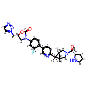 N#C[C@]1(c2ccc(-c3ccc(N4C[C@H](Cn5ccnn5)OC4=O)cc3F)cn2)[C@@H]2CN(C(=O)[C@@H]3CCCN3)C[C@@H]21